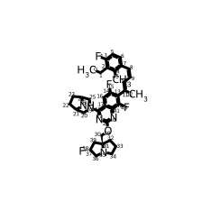 CCc1c(F)ccc(/C=C\C=C(/C)c2c(F)cc3c(N4CC5CCC(C4)N5)nc(OC[C@@]45CCCN4C[C@H](F)C5)nc3c2F)c1C